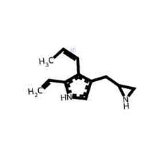 C=Cc1[nH]cc(CC2CN2)c1/C=C\C